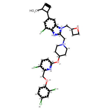 O=C(O)C1C#CC1c1cc(F)c2nc(CN3CCC(Oc4ccc(F)c(COc5ccc(Cl)cc5F)n4)CC3)n(C[C@@H]3CCO3)c2c1